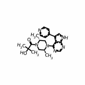 C[C@@H]1CN(c2ncnc3[nH]cc(-c4ccncc4)c23)[C@@H](C)CN1C(=O)C(C)(C)O